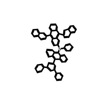 c1ccc(-c2cc(-c3ccccc3)cc(-c3c4ccccc4c(N(c4ccccc4)c4ccc5c(-c6ccc7ccccc7c6)c6ccccc6c(-c6ccc7ccccc7c6)c5c4)c4ccccc34)c2)cc1